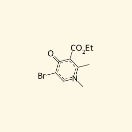 CCOC(=O)c1c(C)n(C)cc(Br)c1=O